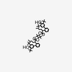 CCCCC(C(=O)OC1C(C)(C)C(OC(=O)C(CCCC)c2ccccc2-c2cc(C(C)(C)C)c(O)c(C(C)(C)C)c2)C1(C)C)c1ccccc1-c1cc(C(C)(C)C)c(O)c(C(C)(C)C)c1